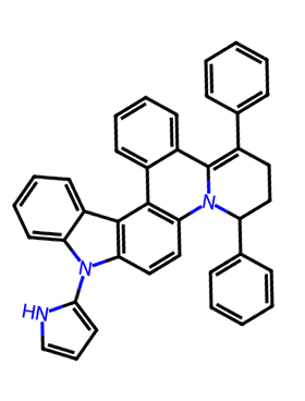 c1ccc(C2=C3c4ccccc4-c4c(ccc5c4c4ccccc4n5-c4ccc[nH]4)N3C(c3ccccc3)CC2)cc1